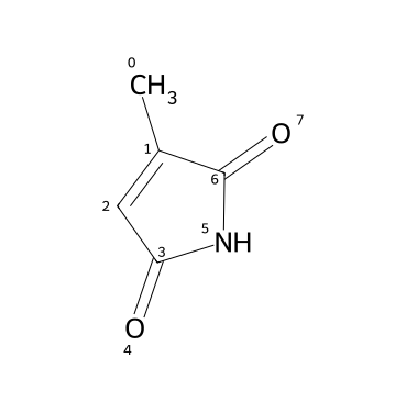 CC1=CC(=O)NC1=O